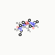 Cc1cc(C(C)Nc2ccccc2C(=O)OC(=O)c2ccccc2NC(C)c2cc(C)cc3c(=O)n(C)c(N4CCC(c5ccccc5)C4)nc23)c2nc(N3CCc4ccccc4C3)n(C)c(=O)c2c1